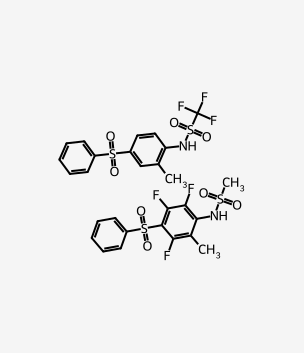 Cc1c(F)c(S(=O)(=O)c2ccccc2)c(F)c(F)c1NS(C)(=O)=O.Cc1cc(S(=O)(=O)c2ccccc2)ccc1NS(=O)(=O)C(F)(F)F